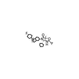 CC1(C)C(=O)N(c2ccc3c(cnn3-c3ccc(F)cc3)c2)[C@@H](c2ccccc2)[C@@H]1NC(=O)C1CC1